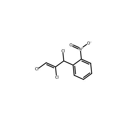 O=[N+]([O-])c1ccccc1C(Cl)C(Cl)=CCl